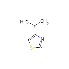 CC(C)c1cs[c]n1